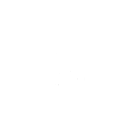 C=C(CC(=O)O)C(=O)OC.[La]